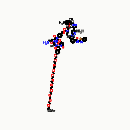 COCCOCCOCCOCCOCCOCCOCCOCCOCCOCCOCCOc1ccc(C[C@@H](C(=O)N[C@H](C(=O)N[C@@H](CCCN)C(=O)N(C(N)=O)c2ccc(COC(=O)N(CCOC34CC5(C)CC(C)(CC(Cn6ncc(-c7ccc(N8CCc9cccc(C(=O)Nc%10nc%11ccccc%11s%10)c9C8)nc7C(=O)O)c6C)(C5)C3)C4)CCS(=O)(=O)O)cc2)C(C)C)N2C(=O)C=CC2=O)cc1